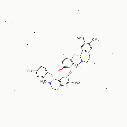 COc1cc2c(cc1OC)[C@@H](Cc1ccc(O)c(Oc3cc4c(cc3OC)CCN(C)[C@@H]4Cc3ccc(O)cc3)c1)N(C)CC2